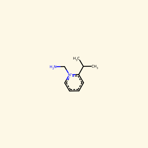 CC(C)c1cccc[n+]1CN